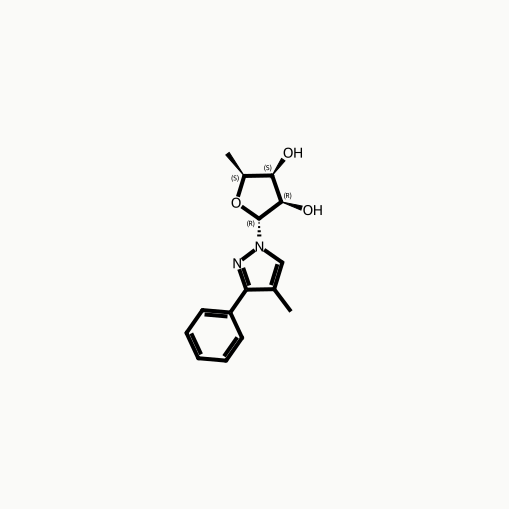 Cc1cn([C@@H]2O[C@@H](C)[C@@H](O)[C@H]2O)nc1-c1ccccc1